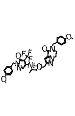 COc1ccc(CN2CCn3nc(COCC(C)Nc4cnn(Cc5ccc(OC)cc5)c(=O)c4C(F)(F)F)cc3C2=O)cc1